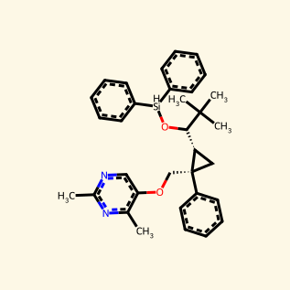 Cc1ncc(OC[C@@]2(c3ccccc3)C[C@H]2C(O[SiH](c2ccccc2)c2ccccc2)C(C)(C)C)c(C)n1